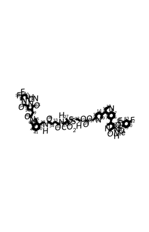 COc1ncc(-c2ccc3nccc(-c4ccc(COC(=O)OCCSSC(C)(C)C(NC(=O)CCC(=O)NCc5cccc6c5CN(C(=O)CC5CC(C(=O)N7CC(F)(F)C[C@H]7C#N)NC5=O)C6)C(=O)O)nc4)c3c2)cc1NS(=O)(=O)c1ccc(F)cc1F